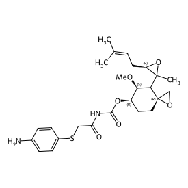 CO[C@H]1C(C2(C)O[C@@H]2CC=C(C)C)[C@]2(CC[C@H]1OC(=O)NC(=O)CSc1ccc(N)cc1)CO2